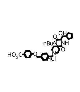 CCCCN1C(=O)[C@@H]([C@H](O)C2CCCC2)NC(=O)C12CCN(Cc1ccc(COc3ccc(C(=O)O)cc3)cc1)CC2.Cl